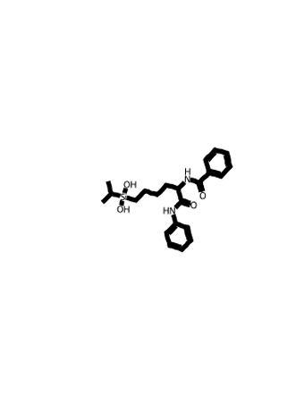 CC(C)[Si](O)(O)CCCCC(NC(=O)c1ccccc1)C(=O)Nc1ccccc1